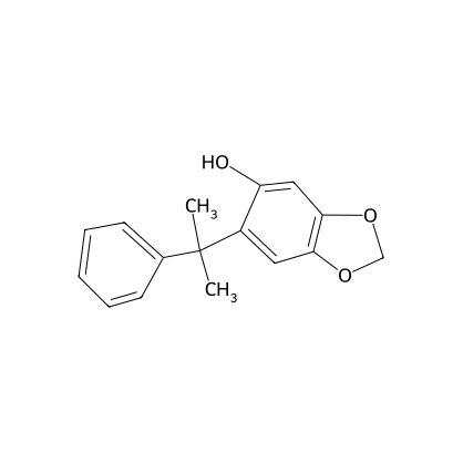 CC(C)(c1ccccc1)c1cc2c(cc1O)OCO2